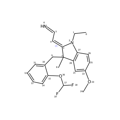 CCN1/C(=C\C=N)C(C)(Cc2ccccc2OC(F)F)c2cc(OC)ccc21